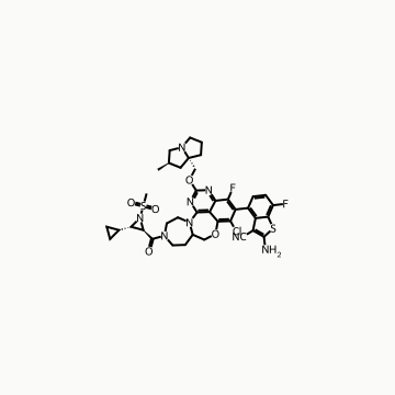 C[C@H]1CN2CCC[C@@]2(COc2nc3c4c(c(Cl)c(-c5ccc(F)c6sc(N)c(C#N)c56)c(F)c4n2)OCC2CCN(C(=O)[C@H]4[C@H](C5CC5)N4S(C)(=O)=O)CCN32)C1